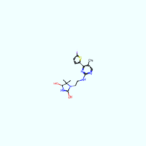 CC1(C)C(O)NC(O)N1CCNc1ncc(C#N)c(-c2ccc(I)s2)n1